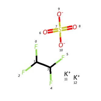 FC(F)C(F)F.O=S(=O)([O-])[O-].[K+].[K+]